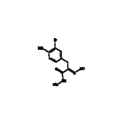 CCCCNC(=O)/C(Cc1ccc(O)c(Br)c1)=N/O